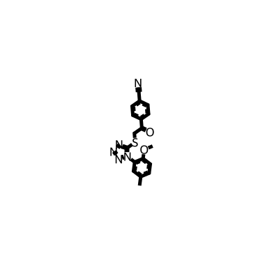 COc1ccc(C)cc1-n1nnnc1SCC(=O)c1ccc(C#N)cc1